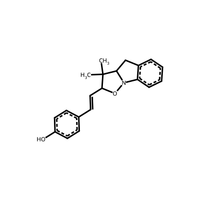 CC1(C)C(C=Cc2ccc(O)cc2)ON2c3ccccc3CC21